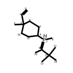 C=CC1(C)CCC(/[PH](C)=C(\C)C(C)(C)C)CC1